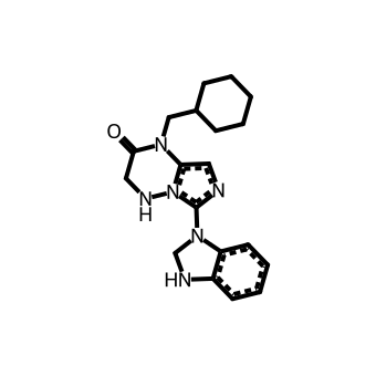 O=C1CNn2c(cnc2N2CNc3ccccc32)N1CC1CCCCC1